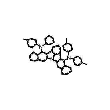 Cc1ccc(N(c2ccccc2)c2c3ccccc3cc3c2c2cccc4c5c(N(c6ccc(C)cc6)c6ccc(C)cc6)c6ccccc6cc5n3c24)cc1